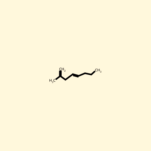 C=C(C)C/[C]=C/CCC